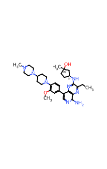 CCc1nc2c(nc1N[C@H]1CC[C@](C)(O)C1)C(c1ccc(N3CCC(N4CCN(C)CC4)CC3)c(OC)c1)=C=[N+]=C2N